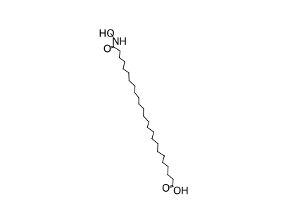 O=C(O)CCCCCCCCCCCCCCCCCCCCCCCC(=O)NO